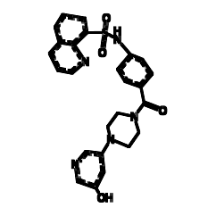 O=C(c1ccc(NS(=O)(=O)c2cccc3cccnc23)cc1)N1CCN(c2cncc(O)c2)CC1